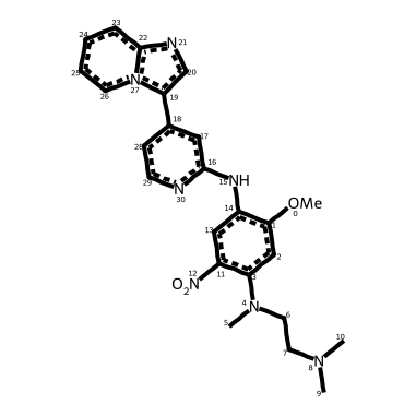 COc1cc(N(C)CCN(C)C)c([N+](=O)[O-])cc1Nc1cc(-c2cnc3ccccn23)ccn1